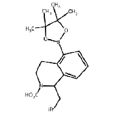 CC(C)CC1c2cccc(B3OC(C)(C)C(C)(C)O3)c2CCN1C(=O)O